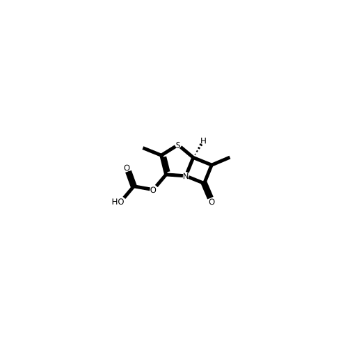 CC1=C(OC(=O)O)N2C(=O)C(C)[C@@H]2S1